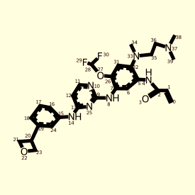 C=CC(=O)Nc1cc(Nc2nccc(Nc3cccc(C4COC4)c3)n2)c(OC(F)F)cc1N(C)CCN(C)C